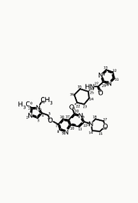 Cc1ncc(COc2cnc3cc(N4CCOCC4)nc(O[C@H]4CC[C@@H](NC(=O)c5ncccn5)CC4)c3c2)n1C